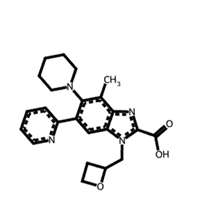 Cc1c(N2CCCCC2)c(-c2ccccn2)cc2c1nc(C(=O)O)n2CC1CCO1